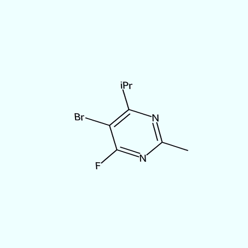 Cc1nc(F)c(Br)c(C(C)C)n1